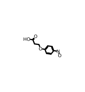 O=Nc1ccc(OCCC(=O)O)cc1